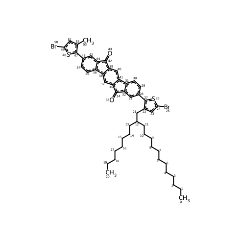 CCCCCCCCCCCCC(CCCCCCCC)Cc1cc(Br)sc1-c1ccc2c(c1)c(=O)c1cc3c(cc12)c(=O)c1cc(-c2sc(Br)cc2C)ccc13